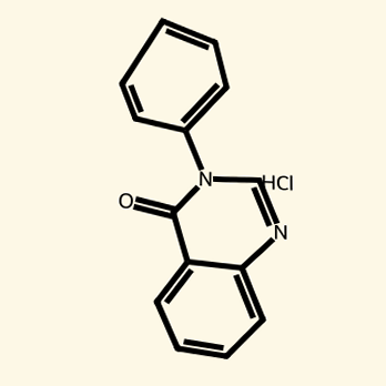 Cl.O=c1c2ccccc2ncn1-c1ccccc1